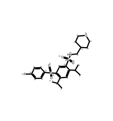 CC(C)c1cc(C(C)C)c(S(=O)(=O)c2ccc(F)cc2)cc1S(=O)(=O)NCC1CCOCC1